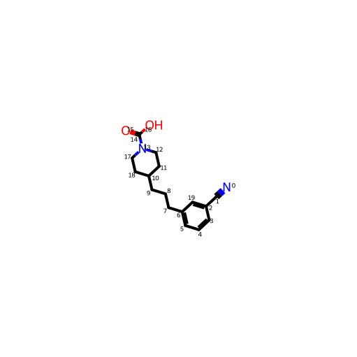 N#Cc1cccc(CCCC2CCN(C(=O)O)CC2)c1